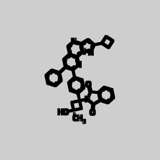 C[C@]1(O)C[C@](c2ccc(-c3nc4c(cnc5cc(C6CCC6)nn54)cc3-c3ccccc3)cc2)(N2C(=O)c3ccccc3C2=O)C1